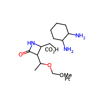 COCOC(C)C1C(=O)NC1CC(=O)O.NC1CCCCC1N.[Pt]